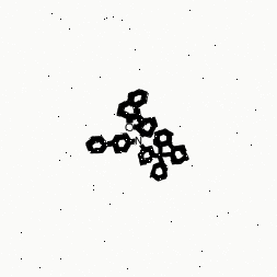 c1ccc(-c2ccc(N(c3cccc(C4(c5ccccc5)c5ccccc5-c5ccccc54)c3)c3cccc4c3oc3ccc5ccccc5c34)cc2)cc1